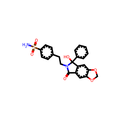 NS(=O)(=O)c1ccc(CCN2C(=O)c3cc4c(cc3C2(O)c2ccccc2)OCO4)cc1